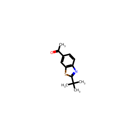 CC(=O)c1ccc2nc(C(C)(C)C)sc2c1